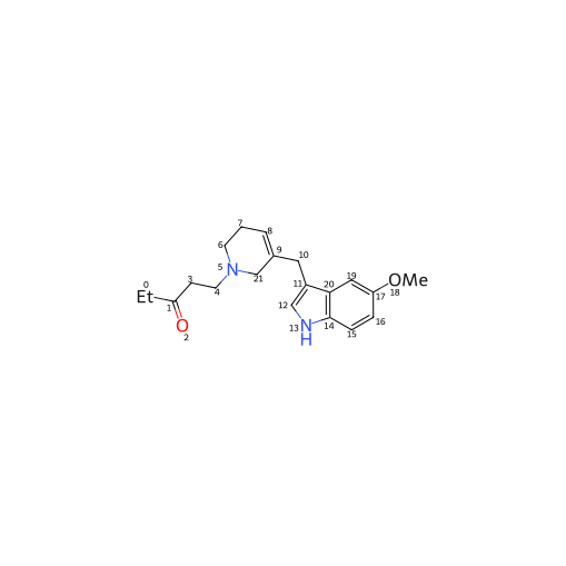 CCC(=O)CCN1CCC=C(Cc2c[nH]c3ccc(OC)cc23)C1